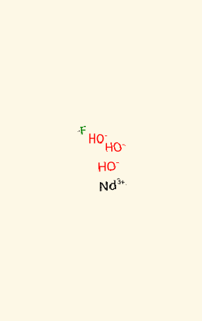 [F].[Nd+3].[OH-].[OH-].[OH-]